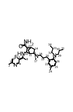 C=C(C)/N=C\C(F)=C(/C)NC1C2CC(CC2N(C)CCCc2cc(C)ccc2N(CCC)CCC)C1C(N)=O